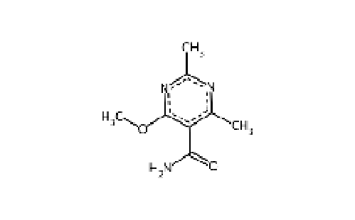 COc1nc(C)nc(C)c1C(N)=O